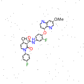 COc1cnc2c(Oc3ccc(NC(=O)c4c(C)ccn(-c5ccc(F)cc5)c4=O)cc3F)ccnc2c1